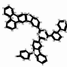 Cc1ccc(-n2c3ccccc3c3cc(-c4nc(-c5cccc(-c6ccncc6)c5)nc(-c5ccc6sc7cc8c9ccccc9c9ccccc9c8cc7c6c5)n4)ccc32)cc1